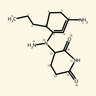 CCCC1CCC(N)=C=C1N(N)C1CCC(=O)NC1=O